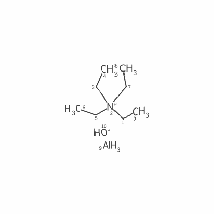 CC[N+](CC)(CC)CC.[AlH3].[OH-]